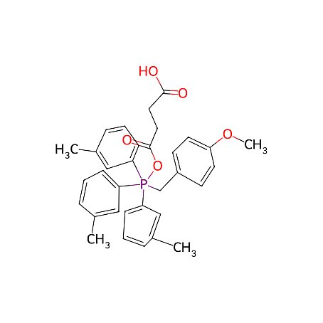 COc1ccc(CP(OC(=O)CCC(=O)O)(c2cccc(C)c2)(c2cccc(C)c2)c2cccc(C)c2)cc1